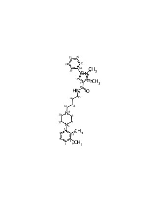 Cc1cccc(N2CCN(CCCCNC(=O)c3cc(-c4ccccc4)n(C)c3C)CC2)c1C